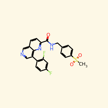 CS(=O)(=O)c1ccc(CNC(=O)c2ccc3cncc(-c4ccc(F)cc4F)c3n2)cc1